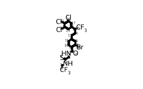 O=C(NCC(=S)NCC(F)(F)F)c1ccc(C=CC(c2cc(Cl)c(Cl)c(Cl)c2)C(F)(F)F)cc1Br